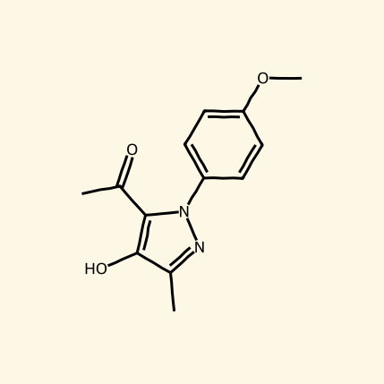 COc1ccc(-n2nc(C)c(O)c2C(C)=O)cc1